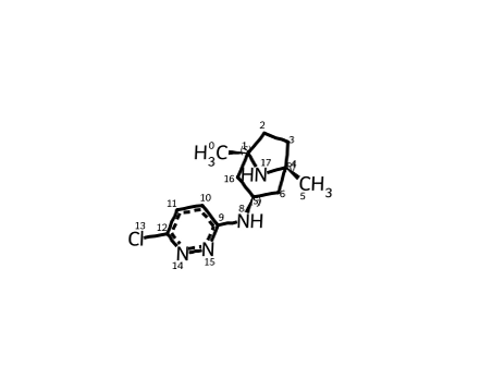 C[C@]12CC[C@](C)(C[C@@H](Nc3ccc(Cl)nn3)C1)N2